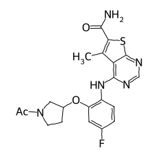 CC(=O)N1CCC(Oc2cc(F)ccc2Nc2ncnc3sc(C(N)=O)c(C)c23)C1